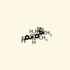 Cc1cc(NC(=O)Cc2cccc(C(F)(F)F)c2)ccc1-c1cn(C)c2ncnc(N)c12